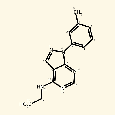 Cc1cccc(-n2ncc3c(NCC(=O)O)ncnc32)c1